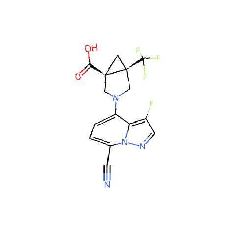 N#Cc1ccc(N2C[C@]3(C(=O)O)C[C@]3(C(F)(F)F)C2)c2c(F)cnn12